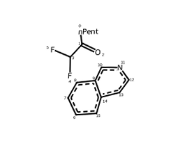 CCCCCC(=O)C(F)F.c1ccc2cnccc2c1